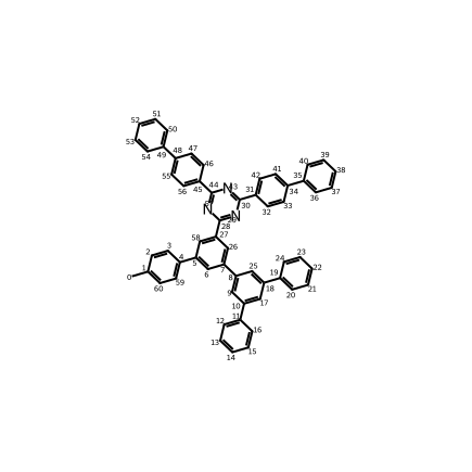 Cc1ccc(-c2cc(-c3cc(-c4ccccc4)cc(-c4ccccc4)c3)cc(-c3nc(-c4ccc(-c5ccccc5)cc4)nc(-c4ccc(-c5ccccc5)cc4)n3)c2)cc1